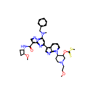 COCCN1CCC(n2cccc3c(-c4cc(N(C)Cc5ccccc5)n5ncc(C(=O)N[C@H]6CC[C@@H]6OC)c5n4)cnc2-3)C(OC(=S)SC)C1